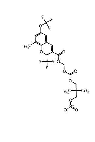 Cc1cc(OC(F)(F)F)cc2c1O[C@H](C(F)(F)F)C(C(=O)OCOC(=O)OCC(C)(C)CO[N+](=O)[O-])=C2